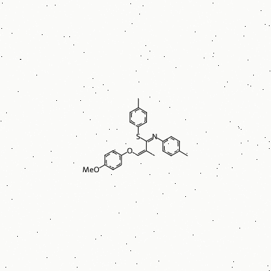 COc1ccc(OC=C(C)C(=Nc2ccc(C)cc2)Sc2ccc(C)cc2)cc1